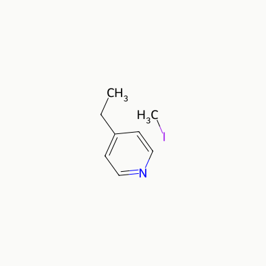 CCc1ccncc1.CI